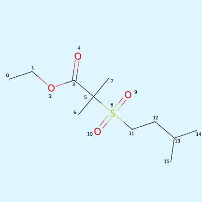 CCOC(=O)C(C)(C)S(=O)(=O)CCC(C)C